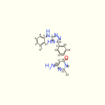 Cc1cccc(Nc2nnc(-c3ccc(Oc4cc(N)nc(C)n4)cc3)[nH]2)c1